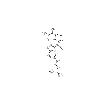 C=C(C(N)=O)c1cccc(C(=O)c2c[nH]c3ccc(OCCN(C)C)cc23)c1